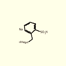 CCCCCCCCc1ccccc1S(=O)(=O)O.[Na]